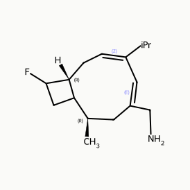 CC(C)C1=C/C[C@H]2C(F)CC2[C@H](C)C/C(CN)=C\1